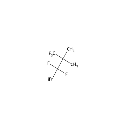 CC(C)C(F)(F)C(C)(C)C(F)(F)F